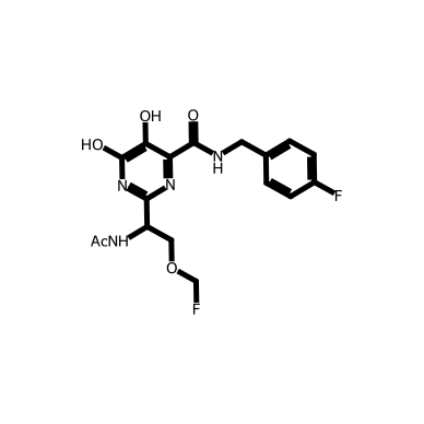 CC(=O)NC(COCF)c1nc(O)c(O)c(C(=O)NCc2ccc(F)cc2)n1